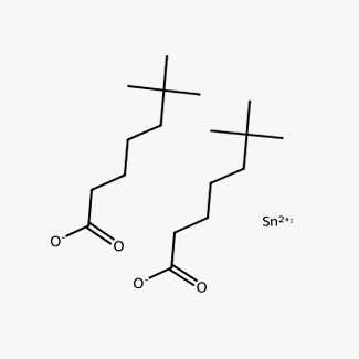 CC(C)(C)CCCCC(=O)[O-].CC(C)(C)CCCCC(=O)[O-].[Sn+2]